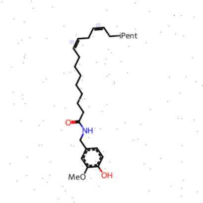 CCCC(C)C/C=C\C/C=C\CCCCCCCC(=O)NCc1ccc(O)c(OC)c1